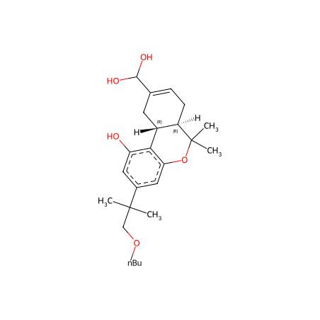 CCCCOCC(C)(C)c1cc(O)c2c(c1)OC(C)(C)[C@@H]1CC=C(C(O)O)C[C@@H]21